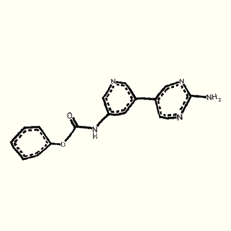 Nc1ncc(-c2cncc(NC(=O)Oc3ccccc3)c2)cn1